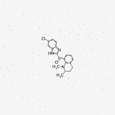 CC1CCc2cccc([S+]([O-])c3nc4ccc(Cl)cc4[nH]3)c2N1C